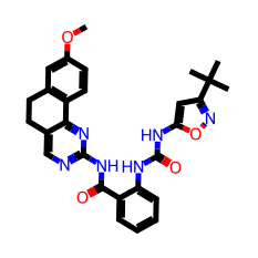 COc1ccc2c(c1)CCc1cnc(NC(=O)c3ccccc3NC(=O)Nc3cc(C(C)(C)C)no3)nc1-2